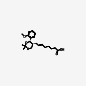 COc1ccccc1[C@H]1OC(C)(C)OC[C@H]1CC=CCCCCC(=O)O